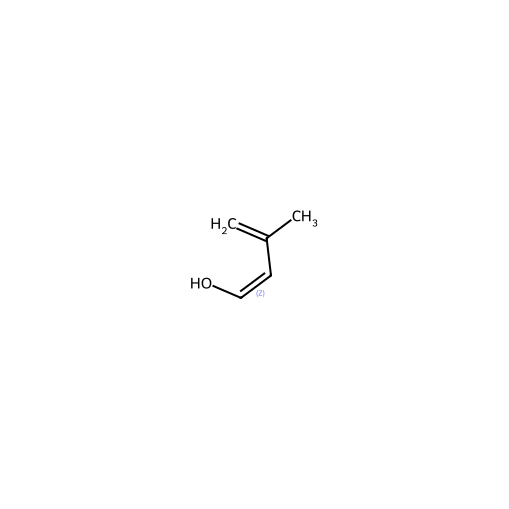 C=C(C)/C=C\O